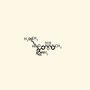 Cc1cccc(NC(=O)Nc2ccc(-c3c(C(=O)NCCCCN(C)C)cn4ncnc(N)c34)cc2)n1